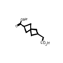 COC(=O)C1CC2(CC(CC(=O)O)C2)C1